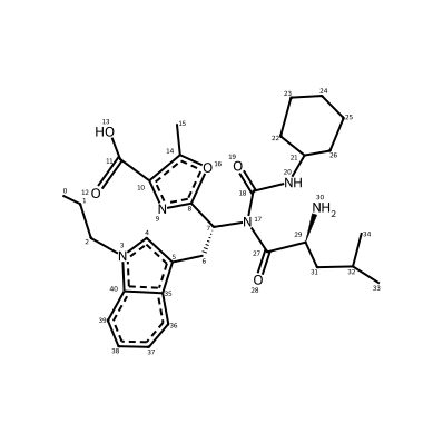 CCCn1cc(C[C@H](c2nc(C(=O)O)c(C)o2)N(C(=O)NC2CCCCC2)C(=O)[C@@H](N)CC(C)C)c2ccccc21